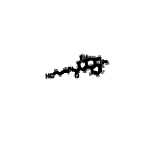 CN1CC(C(=O)NCCCCO)C=C2c3cccc4c3c(cn4C)C[C@H]21